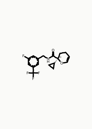 O=C(NCc1cc(F)cc(C(F)(F)F)c1)[C@@]1(C2CC2)CCC=CO1